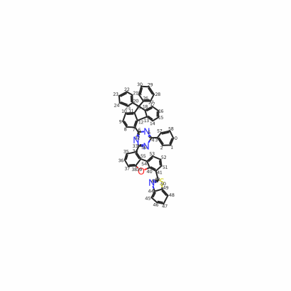 c1ccc(-c2nc(-c3cccc4c3-c3ccccc3C4(c3ccccc3)c3ccccc3)nc(-c3cccc4oc5c(-c6nc7ccccc7s6)cccc5c34)n2)cc1